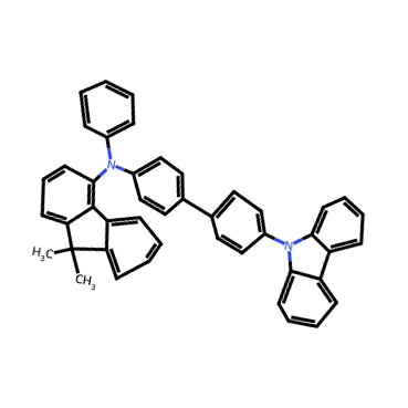 CC1(C)c2ccccc2-c2c(N(c3ccccc3)c3ccc(-c4ccc(-n5c6ccccc6c6ccccc65)cc4)cc3)cccc21